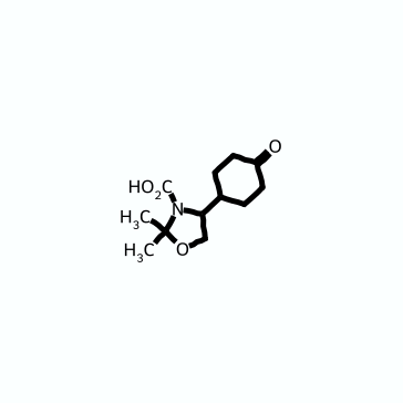 CC1(C)OCC(C2CCC(=O)CC2)N1C(=O)O